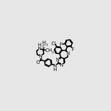 CC1(C)CN(C(=O)c2ccc(Nc3ncc4c(n3)-c3ccc(Cl)cc3C(c3c(F)cccc3F)=NC4)cc2)CCN1